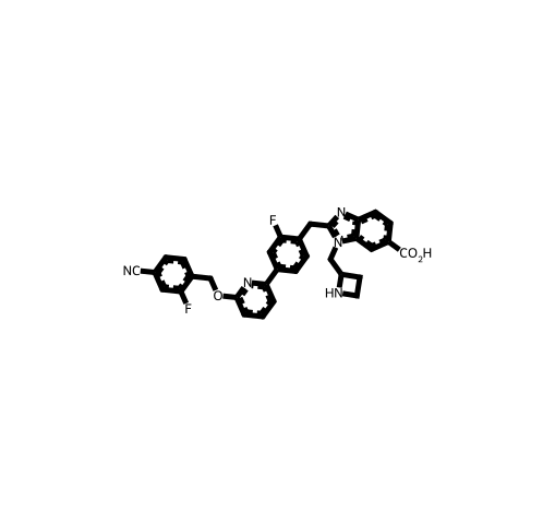 N#Cc1ccc(COc2cccc(-c3ccc(Cc4nc5ccc(C(=O)O)cc5n4CC4CCN4)c(F)c3)n2)c(F)c1